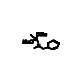 CO[Si](C)(CN(C)Cc1ccccc1)OC